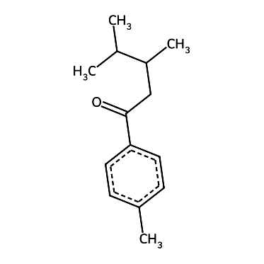 Cc1ccc(C(=O)CC(C)C(C)C)cc1